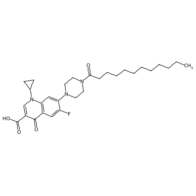 CCCCCCCCCCCC(=O)N1CCN(c2cc3c(cc2F)c(=O)c(C(=O)O)cn3C2CC2)CC1